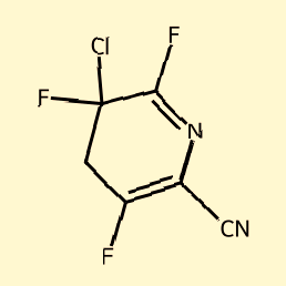 N#CC1=C(F)CC(F)(Cl)C(F)=N1